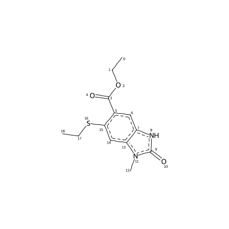 CCOC(=O)c1cc2[nH]c(=O)n(C)c2cc1SCC